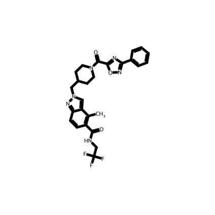 Cc1c(C(=O)NCC(F)(F)F)ccc2nn(CC3CCN(C(=O)c4nc(-c5ccccc5)no4)CC3)cc12